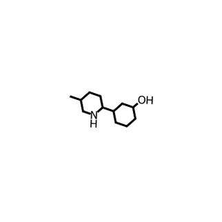 CC1CCC(C2CCCC(O)C2)NC1